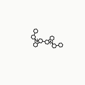 C1CCC(C2CCCC(N3C4CCCCC4C4CC(C5CCC6C(C5)C5CCCCC5N6C5CCCC(C6CCCCC6)C5)CCC43)C2)CC1